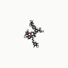 Cc1cc(OCCCc2c3n(c4c(-c5c(C)nn(C)c5C)c(Cl)ccc24)CCCN(Cc2cc(C(=O)O)cc(N4CCN(C(=O)OC(C)(C)C)CC4)n2)C3=O)cc(C)c1Cl